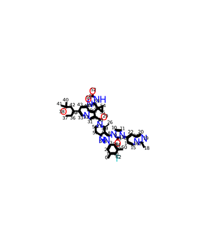 Cc1cc(-n2nc3c(c2-n2ccn(-c4ccn5c(C)ncc5c4)c2=O)[C@H](C)N(C(=O)c2cn4cc([C@H]5CCOC(C)(C)C5)ccc4c2C2(c4noc(=O)[nH]4)CC2)CC3)cc(C)c1F